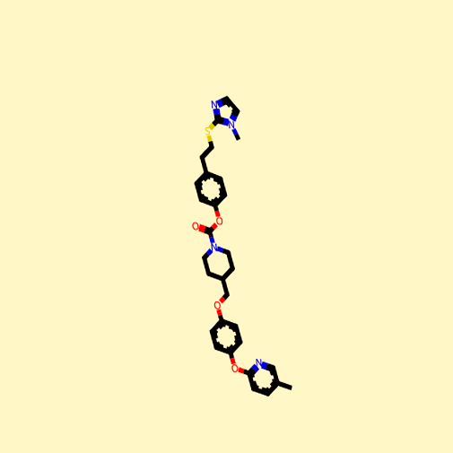 Cc1ccc(Oc2ccc(OCC3CCN(C(=O)Oc4ccc(CCSc5nccn5C)cc4)CC3)cc2)nc1